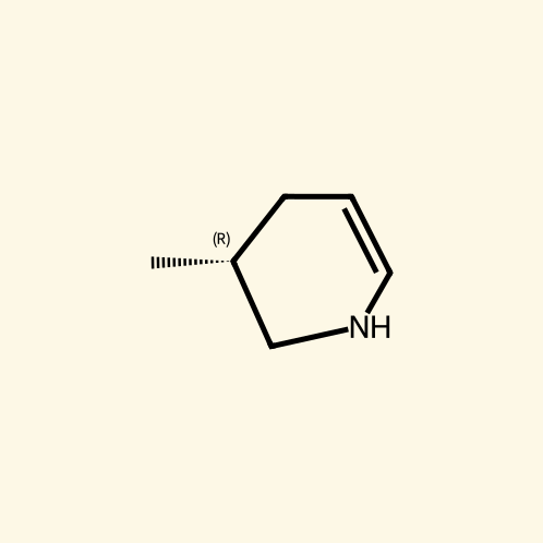 C[C@@H]1CC=CNC1